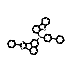 c1ccc(-c2ccc(N(c3cc4c5c(cccc5c3)-c3sc(-c5ccccc5)nc3-4)c3cccc4c3oc3ccccc34)cc2)cc1